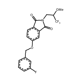 COC(CN1C(=O)c2ccc(OCc3cccc(F)c3)cc2C1=O)C(F)(F)F